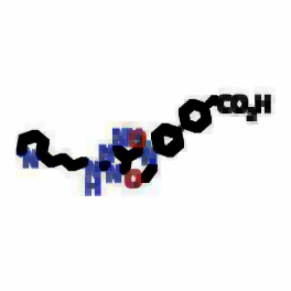 Nc1nc(NCCCCc2ccccn2)nc2c1C(=O)N(c1ccc([C@H]3CC[C@H](CC(=O)O)CC3)cc1)CCO2